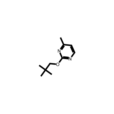 Cc1ccnc(OCC(C)(C)C)n1